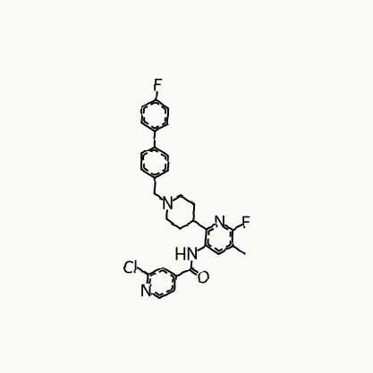 Cc1cc(NC(=O)c2ccnc(Cl)c2)c(C2CCN(Cc3ccc(-c4ccc(F)cc4)cc3)CC2)nc1F